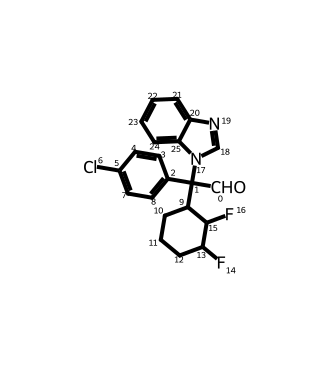 O=CC(c1ccc(Cl)cc1)(C1CCCC(F)C1F)n1cnc2ccccc21